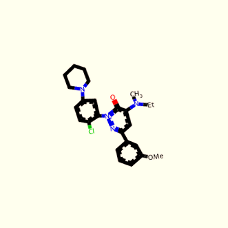 CCN(C)c1cc(-c2cccc(OC)c2)nn(-c2cc(N3CCCCC3)ccc2Cl)c1=O